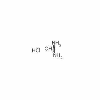 Cl.NN.O